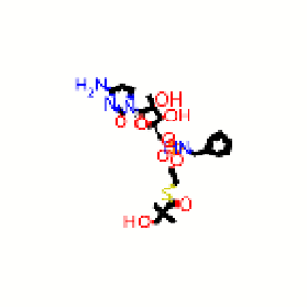 CC(C)(CO)C(=O)SCCOP(=O)(NCc1ccccc1)OC[C@H]1O[C@@H](n2ccc(N)nc2=O)C(C)(O)C1O